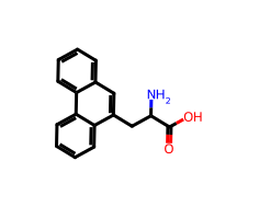 NC(Cc1cc2ccccc2c2ccccc12)C(=O)O